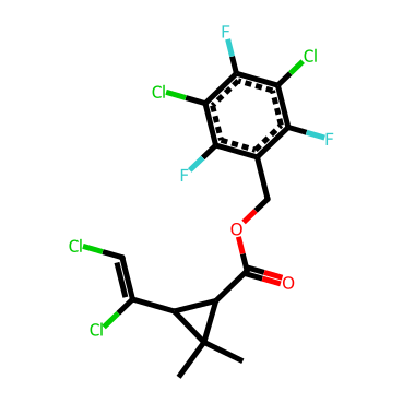 CC1(C)C(C(=O)OCc2c(F)c(Cl)c(F)c(Cl)c2F)C1C(Cl)=CCl